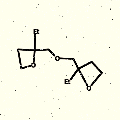 CCC1(COCC2(CC)CCO2)CCO1